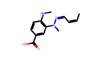 C/C=C\C=N/N(C)c1cc(C(=O)O)ccc1NC